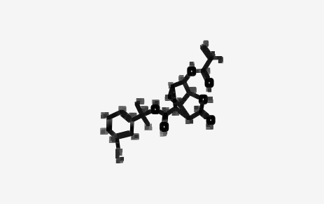 C=C(C)C(=O)OC1C2CC3C1OC(=O)C3C2C(=O)OC(C)(C)c1cccc(F)c1